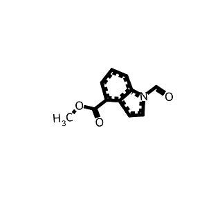 COC(=O)c1cccc2c1ccn2C=O